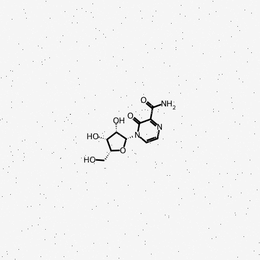 NC(=O)c1nccn([C@@H]2O[C@H](CO)[C@H](O)[C@@H]2O)c1=O